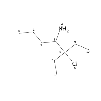 CCCC(N)C(Cl)(CC)CC